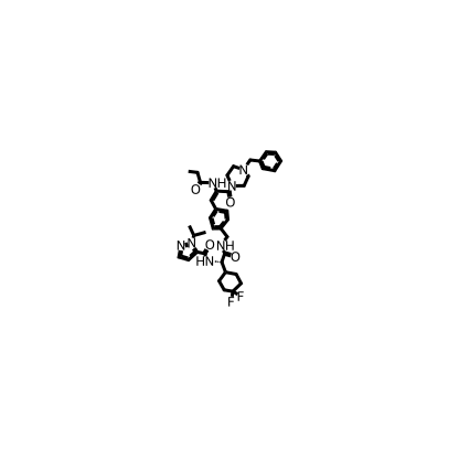 CCC(=O)N/C(=C/c1ccc(CNC(=O)[C@@H](NC(=O)c2ccnn2C(C)C)C2CCC(F)(F)CC2)cc1)C(=O)N1CCN(Cc2ccccc2)CC1